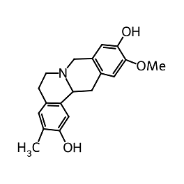 COc1cc2c(cc1O)CN1CCc3cc(C)c(O)cc3C1C2